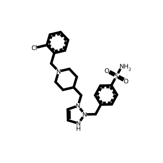 NS(=O)(=O)c1ccc(CN2NC=CN2CC2CCN(Cc3ccccc3Cl)CC2)cc1